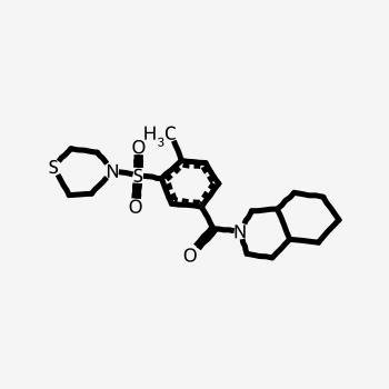 Cc1ccc(C(=O)N2CCC3CCCCC3C2)cc1S(=O)(=O)N1CCSCC1